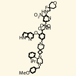 COc1ccc(CN2CCN(C3CC4(CCN(c5ccc(C(=O)NS(=O)(=O)c6cnc(NCC7(F)CCOCC7)c([N+](=O)[O-])c6)c(Oc6cnc7[nH]ccc7c6)c5)CC4)C3)[C@H](c3ccccc3C(C)C)C2)cc1